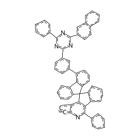 c1ccc(-c2nc(-c3cccc(-c4cccc5c4-c4ccccc4C54c5ccccc5-c5c(-c6ccccc6)nc6ccccc6c54)c3)nc(-c3ccc4ccccc4c3)n2)cc1